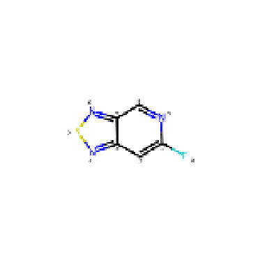 Fc1cc2nsnc2cn1